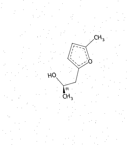 Cc1ccc(C[C@@H](C)O)o1